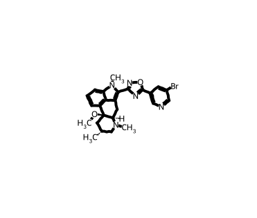 CO[C@]12C[C@@H](C)CN(C)[C@@H]1Cc1c(-c3noc(-c4cncc(Br)c4)n3)n(C)c3cccc2c13